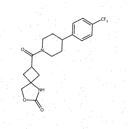 O=C1NC2(CO1)CC(C(=O)N1CCC(c3ccc(C(F)(F)F)cc3)CC1)C2